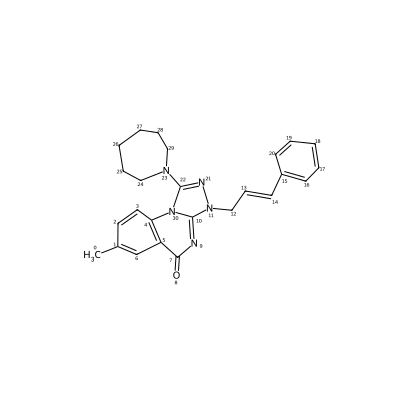 Cc1ccc2c(c1)c(=O)nc1n(C/C=C/c3ccccc3)nc(N3CCCCCC3)n21